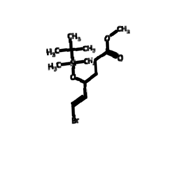 COC(=O)CCC(/C=C/Br)O[Si](C)(C)C(C)(C)C